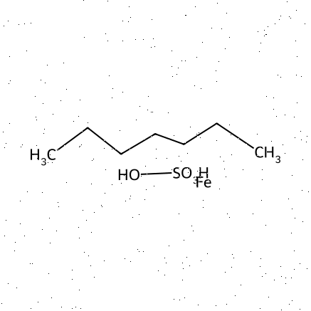 CCCCCCC.O=S(=O)(O)O.[Fe]